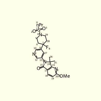 CCCS(=O)(=O)N1CCC(F)(c2cncc(N3C(=O)c4ccc(OC)nc4C3(C)C)c2)CC1